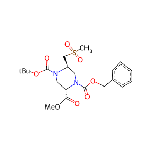 COC(=O)[C@@H]1CN(C(=O)OC(C)(C)C)[C@@H](CS(C)(=O)=O)CN1C(=O)OCc1ccccc1